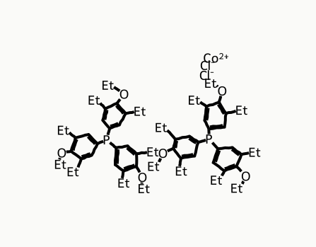 CCOc1c(CC)cc(P(c2cc(CC)c(OCC)c(CC)c2)c2cc(CC)c(OCC)c(CC)c2)cc1CC.CCOc1c(CC)cc(P(c2cc(CC)c(OCC)c(CC)c2)c2cc(CC)c(OCC)c(CC)c2)cc1CC.[Cl-].[Cl-].[Co+2]